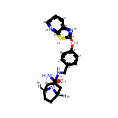 NC(=O)N1[C@@H]2CC[C@H]1CC(NCc1ccc(Oc3nc4cccnc4s3)cc1)C2